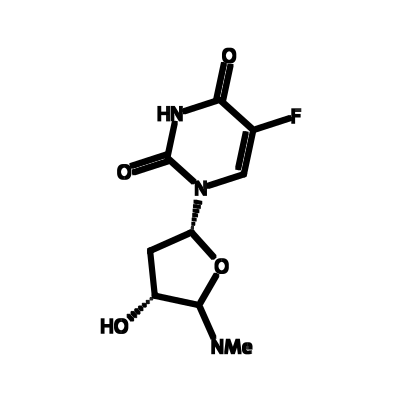 CNC1O[C@@H](n2cc(F)c(=O)[nH]c2=O)C[C@H]1O